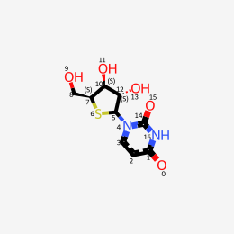 O=c1ccn(C2S[C@@H](CO)[C@@H](O)[C@@H]2O)c(=O)[nH]1